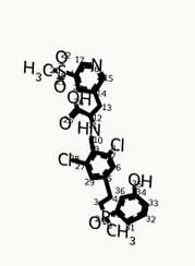 CP(=O)(CCc1cc(Cl)c(CNC(Cc2cncc(S(C)(=O)=O)c2)C(=O)O)c(Cl)c1)c1cccc(O)c1